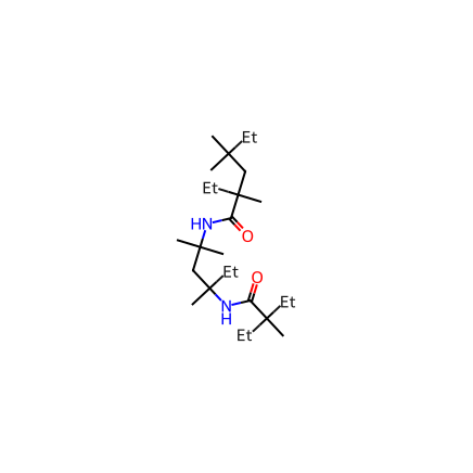 CCC(C)(C)CC(C)(CC)C(=O)NC(C)(C)CC(C)(CC)NC(=O)C(C)(CC)CC